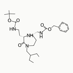 CCC(CC)CN1CC[C@@H](CNC(=O)OCc2ccccc2)N[C@@H](CCNC(=O)OC(C)(C)C)C1=O